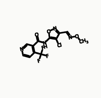 CON=Cc1noc(NC(=O)c2cnccc2C(F)(F)F)c1Cl